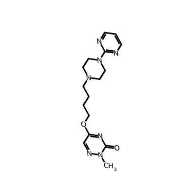 Cn1ncc(OCCCCN2CCN(c3ncccn3)CC2)nc1=O